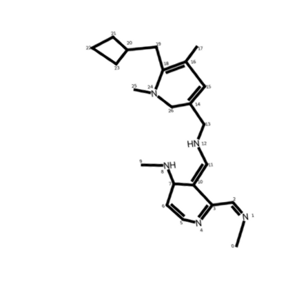 C/N=C\C1=NC=CC(NC)/C1=C\NCC1=CC(C)=C(CC2CCC2)N(C)C1